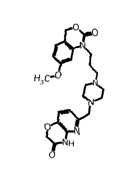 COc1ccc2c(c1)N(CCCN1CCN(Cc3ccc4c(n3)NC(=O)CO4)CC1)C(=O)OC2